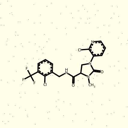 CN1C(=O)N(c2cccnc2Cl)CC1C(=O)NCc1cccc(C(F)(F)F)c1Cl